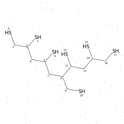 SCC(S)CC(S)CC(CS)C(S)CC(S)CS